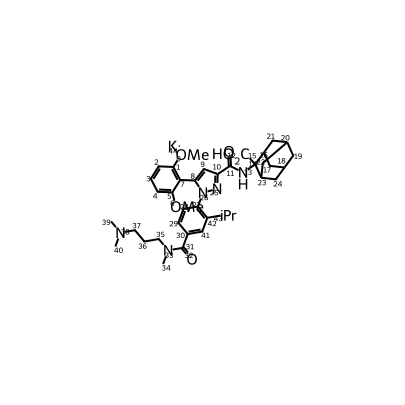 COc1cccc(OC)c1-c1cc(C(=O)NC2(C(=O)O)C3CC4CC(C3)CC2C4)nn1-c1ccc(C(=O)N(C)CCCN(C)C)cc1C(C)C.[K]